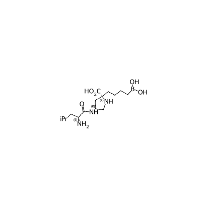 CC(C)C[C@H](N)C(=O)N[C@H]1CN[C@@](CCCCB(O)O)(C(=O)O)C1